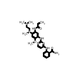 C=CC(=O)Nc1cc(Nc2nccc(Nc3ccccc3C(N)=O)n2)c(OC)cc1N(C)CCN(C)C